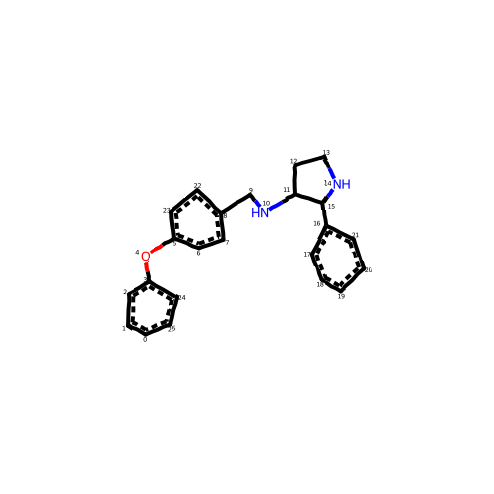 c1ccc(Oc2ccc(CNC3CCNC3c3ccccc3)cc2)cc1